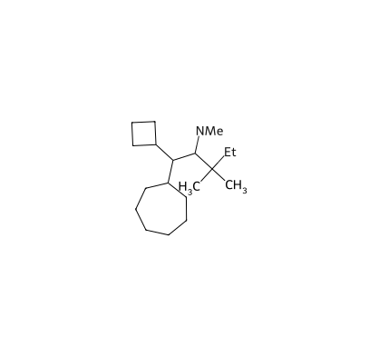 CCC(C)(C)C(NC)C(C1CCCCCC1)C1CCC1